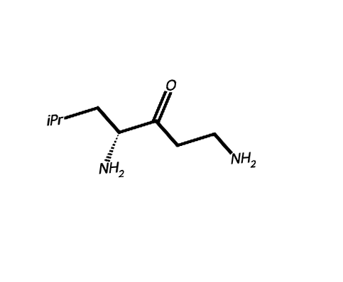 CC(C)C[C@@H](N)C(=O)CCN